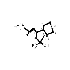 CC(=CC(CC(O)(C(F)(F)F)C(F)(F)F)C1CCCCC1)C(=O)O